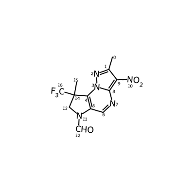 Cc1nn2c3c(cnc2c1[N+](=O)[O-])N(C=O)CC3(C)C(F)(F)F